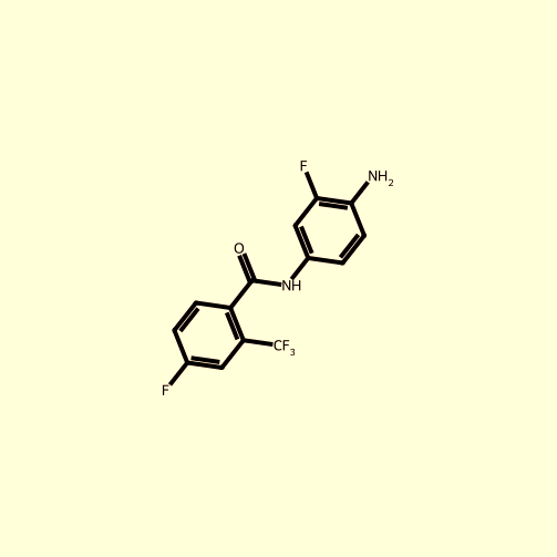 Nc1ccc(NC(=O)c2ccc(F)cc2C(F)(F)F)cc1F